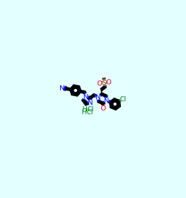 CS(=O)(=O)CC[C@H]1CN(c2cccc(Cl)c2)C(=O)CN1Cc1nccn1Cc1ccc(C#N)cc1.Cl.Cl